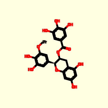 CC(C)Oc1cc([C@H]2Oc3cc(O)cc(O)c3C[C@@H]2OC(=O)c2cc(O)c(O)c(O)c2)cc(O)c1O